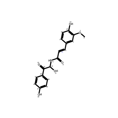 COc1cc(/C=C/C(=O)NC(O)C(=O)c2ccc(O)cc2)ccc1O